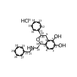 Cl.Oc1ccc2c(c1O)C[C@H](c1ccccc1)O[C@@H]2CNCc1ccccc1